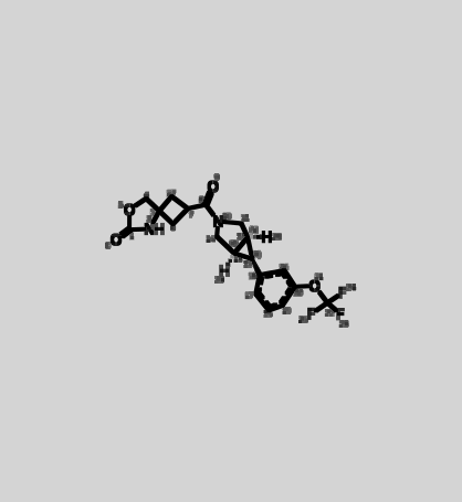 O=C1NC2(CO1)CC(C(=O)N1C[C@@H]3[C@H](C1)[C@@H]3c1cccc(OC(F)(F)F)c1)C2